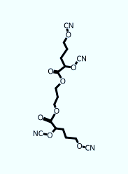 N#COCCCC(OC#N)C(=O)OCCCOC(=O)C(CCCOC#N)OC#N